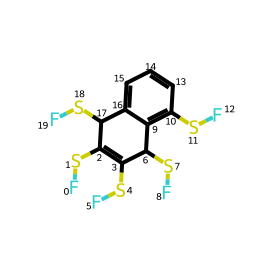 FSC1=C(SF)C(SF)c2c(SF)cccc2C1SF